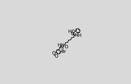 O=C(CCCCCCC(=O)Nc1ccccc1O)NN=Cc1cc2c(cc1Br)OCO2